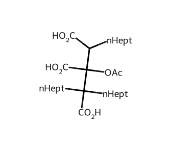 CCCCCCCC(C(=O)O)C(OC(C)=O)(C(=O)O)C(CCCCCCC)(CCCCCCC)C(=O)O